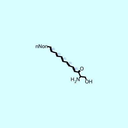 CCCCCCCCC/C=C/C=C/C=C/C=C/C=C/C(=O)C(N)CO